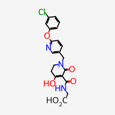 O=C(O)CNC(=O)C1=C(O)CCN(Cc2ccc(Oc3cccc(Cl)c3)nc2)C1=O